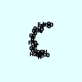 COc1c(N2CCN(Cc3oc(=O)oc3C)C(C)C2)c(F)cc2c(=O)c(C(=O)OCOC(=O)N3CCN(c4c(F)cc5c(=O)c(C(=O)OCC(=O)[C@@]6(O)CC[C@H]7[C@@H]8CCC9=CC(=O)C=C[C@]9(C)[C@H]8[C@@H](O)C[C@@]76C)cn(C6CC6)c5c4OC)CC3C)cn(C3CC3)c12